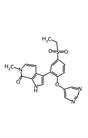 CCS(=O)(=O)c1ccc(Oc2cncnc2)c(-c2c[nH]c3c(=O)n(C)ccc23)c1